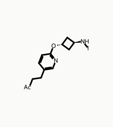 CC(=O)CCc1ccc(O[C@H]2C[C@H](NI)C2)nc1